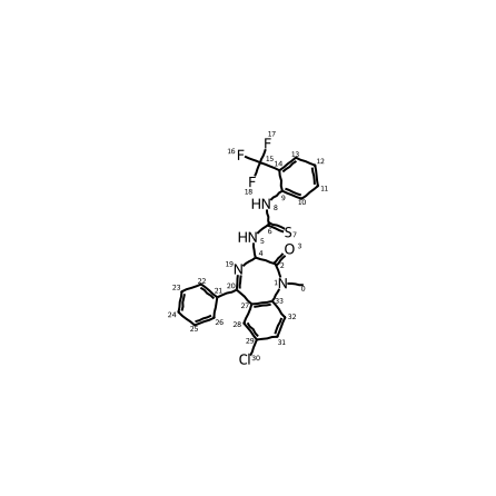 CN1C(=O)C(NC(=S)Nc2ccccc2C(F)(F)F)N=C(c2ccccc2)c2cc(Cl)ccc21